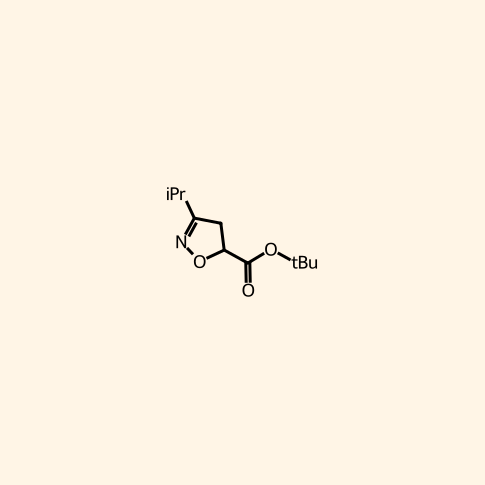 CC(C)C1=NOC(C(=O)OC(C)(C)C)C1